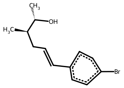 C[C@H](O)[C@H](C)C/C=C/c1ccc(Br)cc1